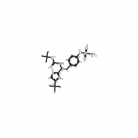 CC(C)(C)OC(=O)N[C@@H](Cc1ccc(OS(N)(=O)=O)cc1)c1nc(C(C)(C)C)cs1